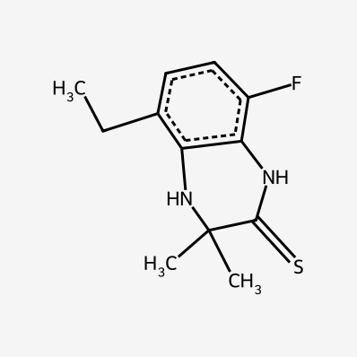 CCc1ccc(F)c2c1NC(C)(C)C(=S)N2